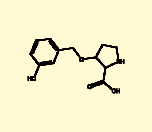 O=C(O)C1NCCC1OCc1cccc(O)c1